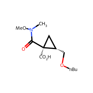 CCCCOC[C@H]1C[C@]1(C(=O)O)C(=O)N(C)OC